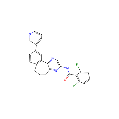 O=C(Nc1cnc2c(n1)CCCc1ccc(-c3cccnc3)cc1-2)c1c(F)cccc1F